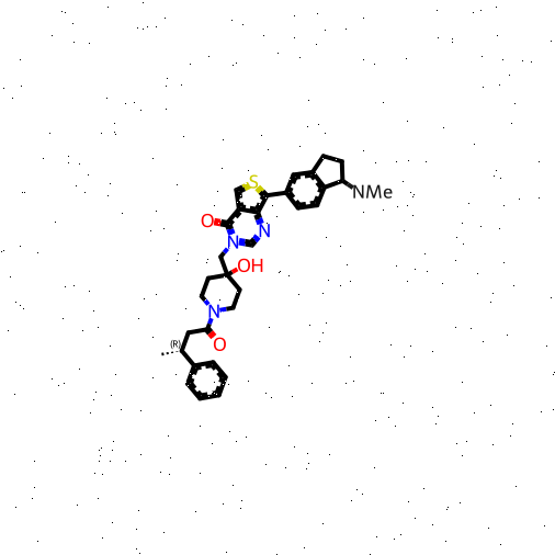 CNC1CCc2cc(-c3scc4c(=O)n(CC5(O)CCN(C(=O)C[C@@H](C)c6ccccc6)CC5)cnc34)ccc21